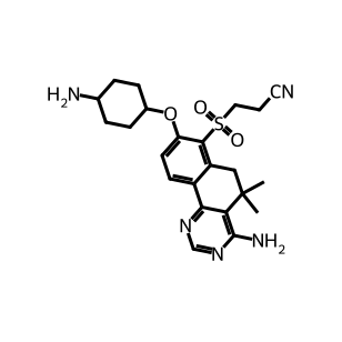 CC1(C)Cc2c(ccc(OC3CCC(N)CC3)c2S(=O)(=O)CCC#N)-c2ncnc(N)c21